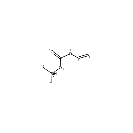 C=COC(=O)O[SiH](C)C